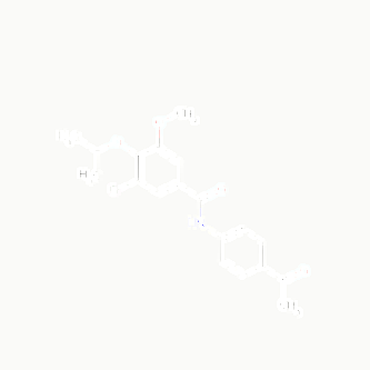 COc1cc(C(=O)Nc2ccc(C(C)=O)cc2)cc(Cl)c1OC(C)C